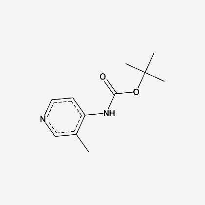 Cc1cnccc1NC(=O)OC(C)(C)C